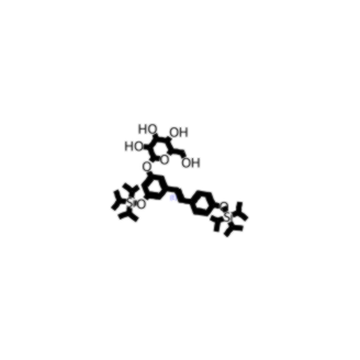 CC(C)[Si](Oc1ccc(/C=C/c2cc(OC3OC(CO)C(O)C(O)C3O)cc(O[Si](C(C)C)(C(C)C)C(C)C)c2)cc1)(C(C)C)C(C)C